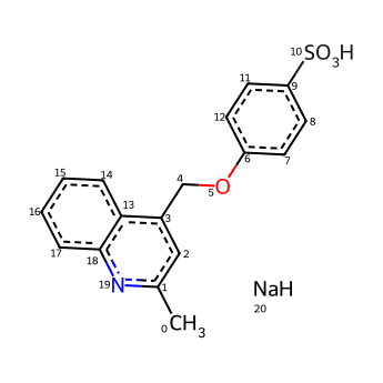 Cc1cc(COc2ccc(S(=O)(=O)O)cc2)c2ccccc2n1.[NaH]